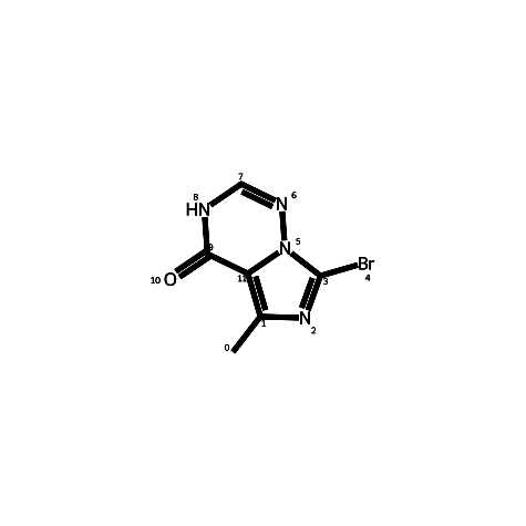 Cc1nc(Br)n2nc[nH]c(=O)c12